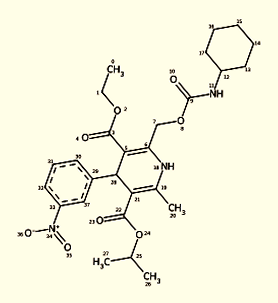 CCOC(=O)C1=C(COC(=O)NC2CCCCC2)NC(C)=C(C(=O)OC(C)C)C1c1cccc([N+](=O)[O-])c1